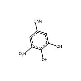 COc1cc(O)c(O)c([N+](=O)[O-])c1